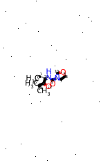 CC[C@H](NC(=O)N1CCOC1)C(=O)C(C)C